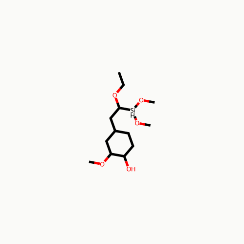 CCOC(CC1CCC(O)C(OC)C1)[SiH](OC)OC